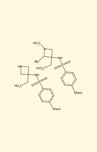 CCCCCc1ccc(S(=O)(=O)NC2(CC(=O)O)CNC2)cc1.CCCCCc1ccc(S(=O)(=O)NC2(CC(=O)OCC)CN(C(=O)O)C2C(C)(C)C)cc1